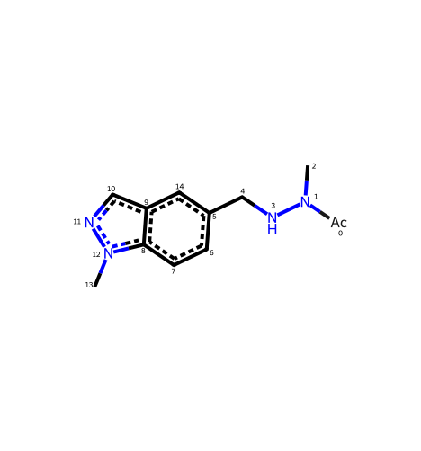 CC(=O)N(C)NCc1ccc2c(cnn2C)c1